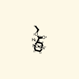 CCOC(=O)[C@H]1CN2CCN1CC2